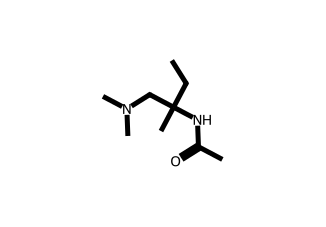 CCC(C)(CN(C)C)NC(C)=O